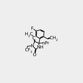 C=C=C1N(CC(F)(F)F)C(=O)NC1(CCC)c1cc(F)ccc1C=C